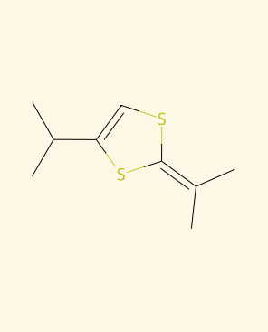 CC(C)=C1SC=C(C(C)C)S1